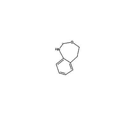 [C]1Nc2ccccc2CCO1